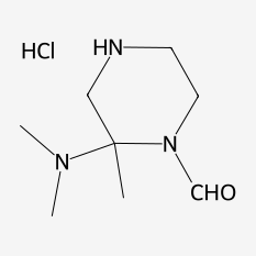 CN(C)C1(C)CNCCN1C=O.Cl